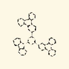 c1ccc2c(c1)c1ccccc1c1cc(-c3nc(-c4ccc5c6ccccc6c6ccccc6c5c4)nc(-n4c5ccccc5c5ccccc54)n3)ccc21